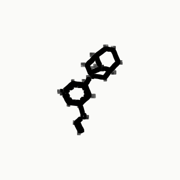 C=COc1cncc(N2CC3CCCC(C2)N3C)c1